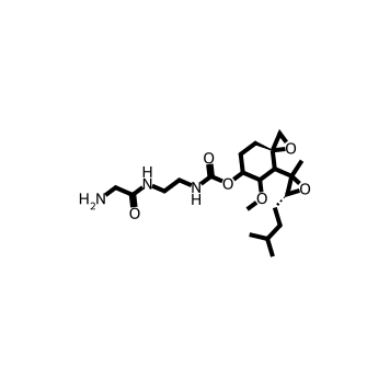 COC1C(OC(=O)NCCNC(=O)CN)CC[C@]2(CO2)C1C1(C)O[C@@H]1CCC(C)C